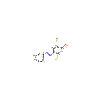 Oc1cc(F)c(N=Nc2ccccc2)cc1F